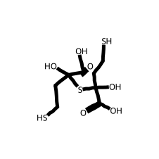 O=C(O)C(O)(CCS)SC(O)(CCS)C(=O)O